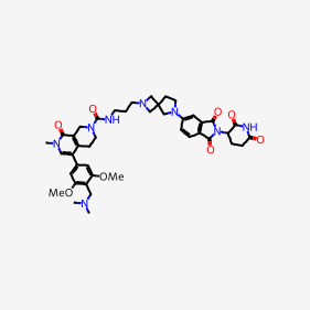 COc1cc(-c2cn(C)c(=O)c3c2CCN(C(=O)NCCCN2CC4(CCN(c5ccc6c(c5)C(=O)N(C5CCC(=O)NC5=O)C6=O)C4)C2)C3)cc(OC)c1CN(C)C